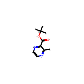 Cc1nccnc1C(=O)OC(C)(C)C